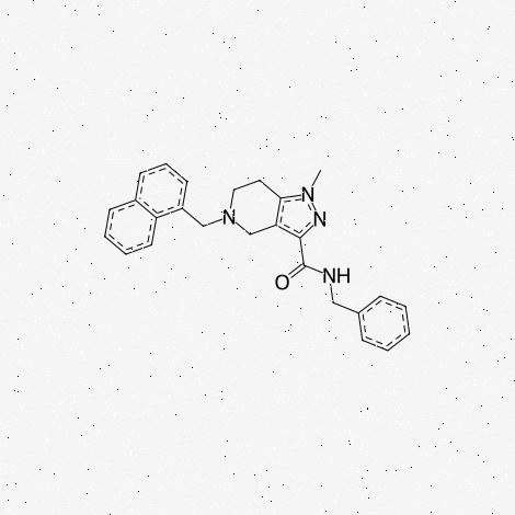 Cn1nc(C(=O)NCc2ccccc2)c2c1CCN(Cc1cccc3ccccc13)C2